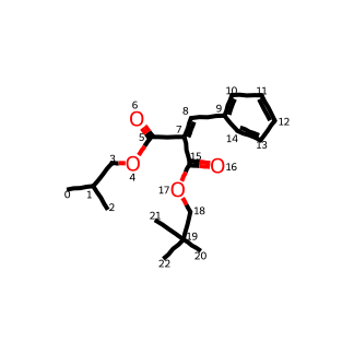 CC(C)COC(=O)/C(=C/c1ccccc1)C(=O)OCC(C)(C)C